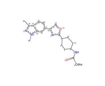 COC(=O)NC1CCC(c2nc(-c3ccc4c(C)nn(C)c4c3)no2)CC1